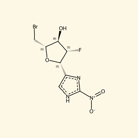 O=[N+]([O-])c1nc([C@@H]2O[C@H](CBr)[C@@H](O)[C@@H]2F)c[nH]1